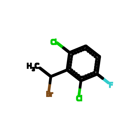 CC(Br)c1c(Cl)ccc(F)c1Cl